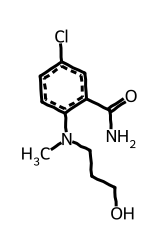 CN(CCCO)c1ccc(Cl)cc1C(N)=O